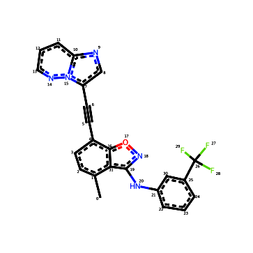 Cc1ccc(C#Cc2cnc3cccnn23)c2onc(Nc3cccc(C(F)(F)F)c3)c12